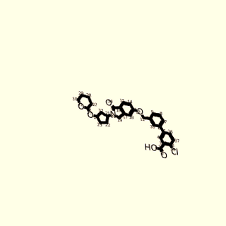 O=C(O)c1cc(-c2cccc(COc3ccc4c(c3)CN(C3CCC(OC5CCCCO5)C3)C4=O)c2)ccc1Cl